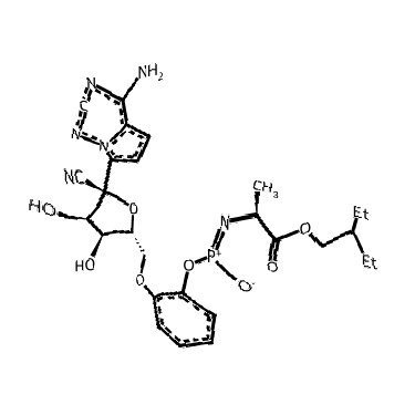 CCC(CC)COC(=O)[C@H](C)N=[P+]([O-])Oc1ccccc1OC[C@H]1O[C@@](C#N)(c2ccc3c(N)ncnn23)[C@H](O)[C@@H]1O